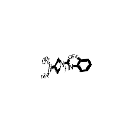 CCCN(CCC)C1CN(C(=O)Nc2ccccc2CC)C1